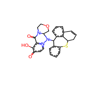 O=C1c2c(O)c(=O)ccn2N(C2c3ccccc3SC3CC=Cc4cccc2c43)C2COCCN12